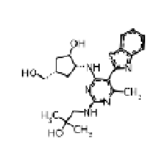 Cc1nc(NCC(C)(C)O)nc(N[C@@H]2C[C@H](CO)C[C@H]2O)c1-c1nc2ccccc2s1